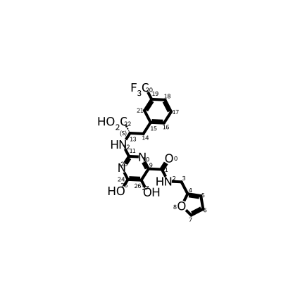 O=C(NCc1ccco1)c1nc(N[C@@H](Cc2cccc(C(F)(F)F)c2)C(=O)O)nc(O)c1O